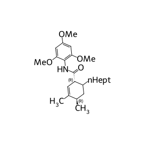 CCCCCCCC1C[C@@H](C)C(C)=C[C@@H]1C(=O)Nc1c(OC)cc(OC)cc1OC